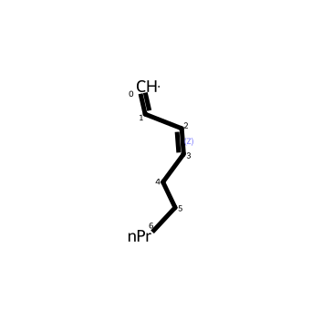 [CH]=C/C=C\CCCCC